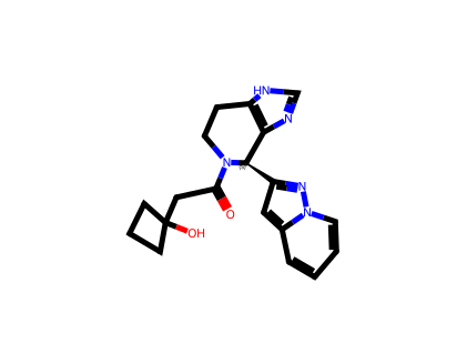 O=C(CC1(O)CCC1)N1CCc2[nH]cnc2[C@H]1c1cc2ccccn2n1